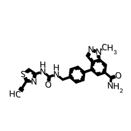 C#Cc1nc(NC(=O)NCc2ccc(-c3cc(C(N)=O)cc4c3cnn4C)cc2)cs1